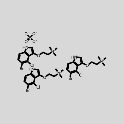 C[N+](C)(C)CCOc1c[nH]c2ccc(Br)c(Cl)c12.C[N+](C)(C)CCOc1c[nH]c2ccc(Br)c(Cl)c12.C[N+](C)(C)CCOc1c[nH]c2ccc(Br)c(Cl)c12.O=P([O-])([O-])[O-]